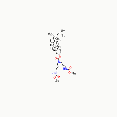 CC[C@H](CC[C@@H](C)[C@H]1CC[C@H]2[C@@H]3CC=C4C[C@@H](OC(=O)N(CCCCNC(=O)OC(C)(C)C)CCCNC(=O)OC(C)(C)C)CC[C@]4(C)[C@H]3CC[C@]12C)C(C)C